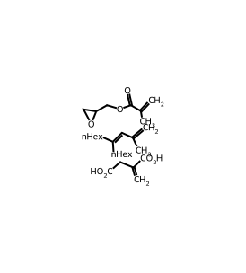 C=C(C)C(=O)OCC1CO1.C=C(C)C=C(CCCCCC)CCCCCC.C=C(CC(=O)O)C(=O)O